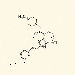 CN1CCN(CC(=O)N2CCCCc3nc(C=Cc4ccccc4)sc32)CC1.Cl